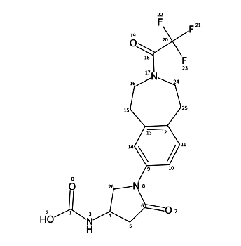 O=C(O)NC1CC(=O)N(c2ccc3c(c2)CCN(C(=O)C(F)(F)F)CC3)C1